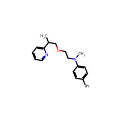 CC(C)c1ccc(N(C)CCOCC(C)c2ccccn2)cc1